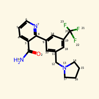 NC(=O)c1cccnc1-c1cc(CN2CCCC2)cc(C(F)(F)F)c1